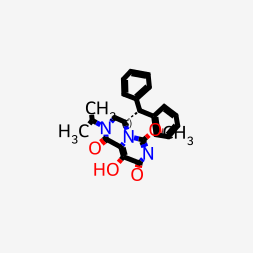 COc1nc(=O)c(O)c2n1[C@@H](C(c1ccccc1)c1ccccc1)CN(C(C)C)C2=O